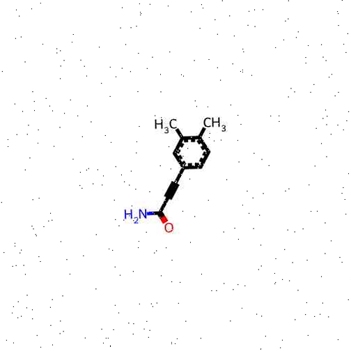 Cc1ccc(C#CC(N)=O)cc1C